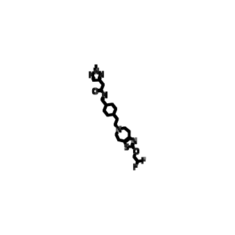 Cn1ncc(CC(=O)/N=C/C2CCC(CCN3CCc4nc(OCC(F)F)sc4CC3)CC2)n1